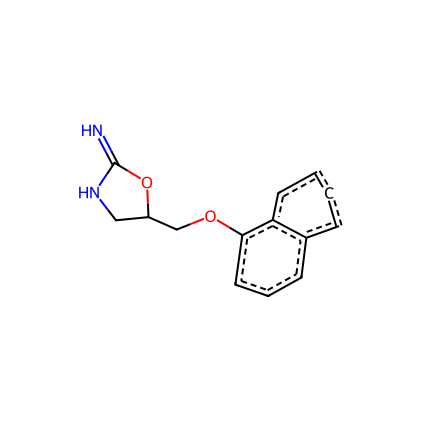 N=C1NCC(COc2cccc3ccccc23)O1